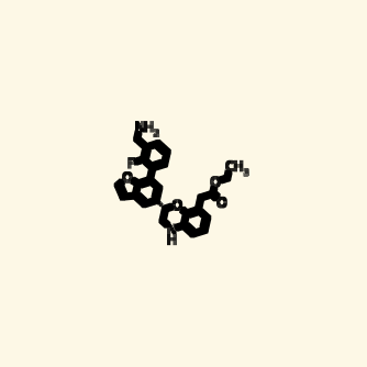 CCOC(=O)Cc1cccc2c1O[C@@H](c1cc(-c3cccc(CN)c3F)c3occc3c1)CN2